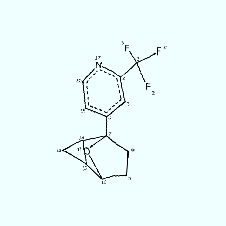 FC(F)(F)c1cc(C23CCC(O2)C2CC23)ccn1